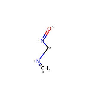 C=NCN=O